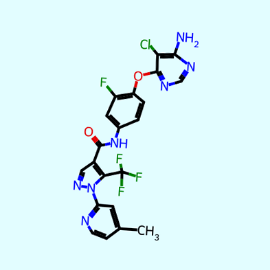 Cc1ccnc(-n2ncc(C(=O)Nc3ccc(Oc4ncnc(N)c4Cl)c(F)c3)c2C(F)(F)F)c1